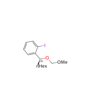 C[CH]CCCC[C@H](OCOC)c1ccccc1I